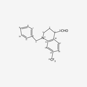 O=CC1CCN(Cc2ccccc2)c2cc(C(F)(F)F)ccc21